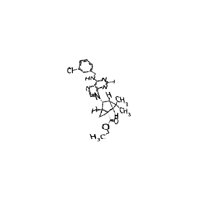 CCOC(=O)[C@]12C[C@@H]1[C@H](n1cnc3c(NCc4cccc(Cl)c4)nc(I)nc31)[C@H]1[C@@H]2C1(C)C